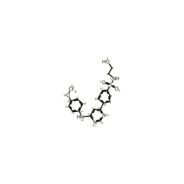 O=S(=O)(NCCO)c1ccc(-c2cc(Nc3ccc(OC(F)(F)F)cc3)ncn2)cc1